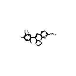 CNc1ncc2c(n1)N1CCN=C1C(c1cc(N)c(F)cc1C)=C2